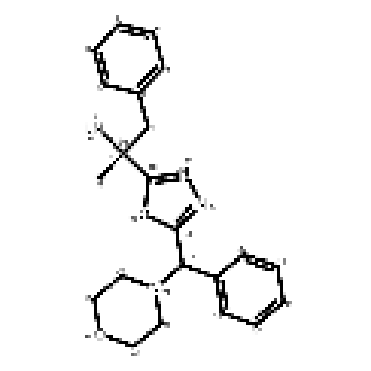 C[C@@](N)(Cc1ccccc1)c1nnc(C(c2ccccc2)N2CCOCC2)o1